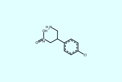 NCC(C[PH](=O)O)c1ccc(Cl)cc1